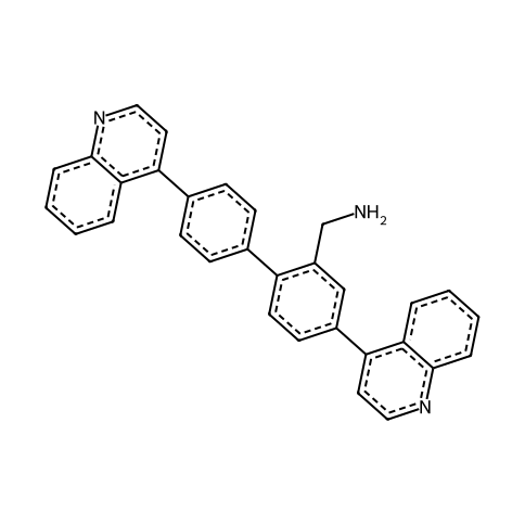 NCc1cc(-c2ccnc3ccccc23)ccc1-c1ccc(-c2ccnc3ccccc23)cc1